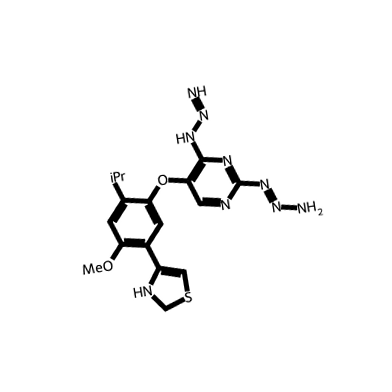 COc1cc(C(C)C)c(Oc2cnc(N=NN)nc2NN=N)cc1C1=CSCN1